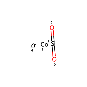 O=[Si]=O.[Co].[Zr]